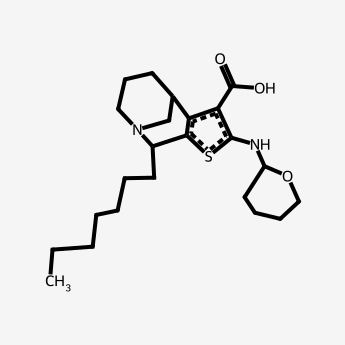 CCCCCCCC1c2sc(NC3CCCCO3)c(C(=O)O)c2C2CCCN1C2